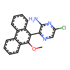 COc1c(-c2ncc(Cl)nc2N)c2ccccc2c2ccccc12